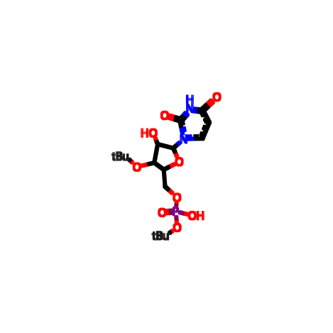 CC(C)(C)OC1C(COP(=O)(O)OC(C)(C)C)OC(n2ccc(=O)[nH]c2=O)C1O